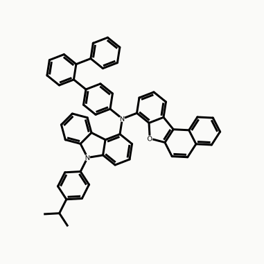 CC(C)c1ccc(-n2c3ccccc3c3c(N(c4ccc(-c5ccccc5-c5ccccc5)cc4)c4cccc5c4oc4ccc6ccccc6c45)cccc32)cc1